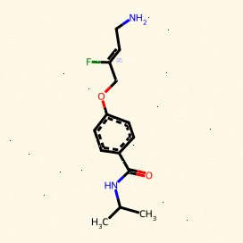 CC(C)NC(=O)c1ccc(OC/C(F)=C/CN)cc1